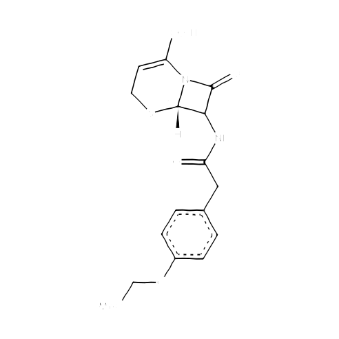 COCOc1ccc(CC(=O)NC2C(=O)N3C(C(=O)O)=CCS[C@@H]23)cc1